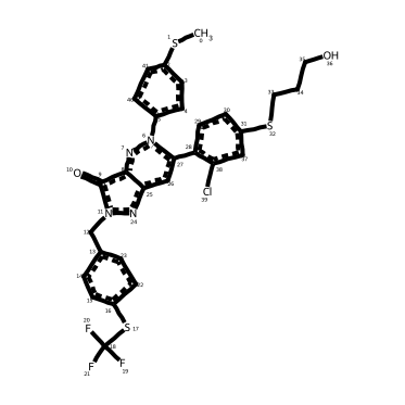 CSc1ccc(-n2nc3c(=O)n(Cc4ccc(SC(F)(F)F)cc4)nc-3cc2-c2ccc(SCCCO)cc2Cl)cc1